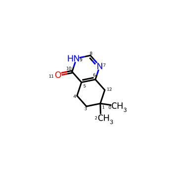 CC1(C)CCc2c(nc[nH]c2=O)C1